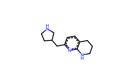 c1cc2c(nc1CC1CCNC1)NCCC2